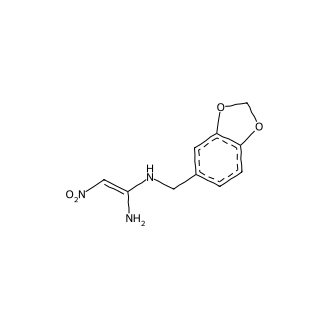 NC(=C[N+](=O)[O-])NCc1ccc2c(c1)OCO2